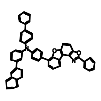 c1ccc(-c2ccc(N(c3ccc(-c4cccc5c4oc4ccc6oc(-c7ccccc7)nc6c45)cc3)c3cccc(-c4ccc5ccccc5c4)c3)cc2)cc1